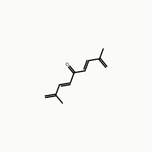 C=C(C)C=CC(=O)C=CC(=C)C